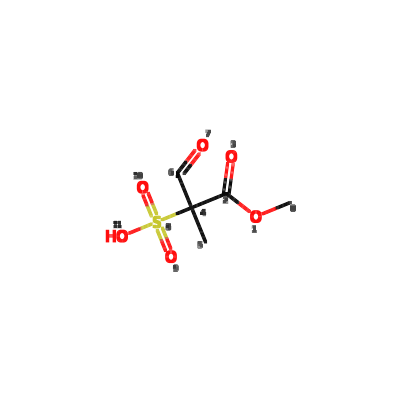 COC(=O)C(C)([C]=O)S(=O)(=O)O